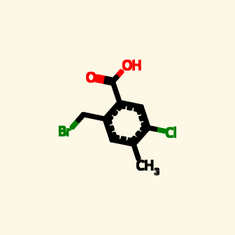 Cc1cc(CBr)c(C(=O)O)cc1Cl